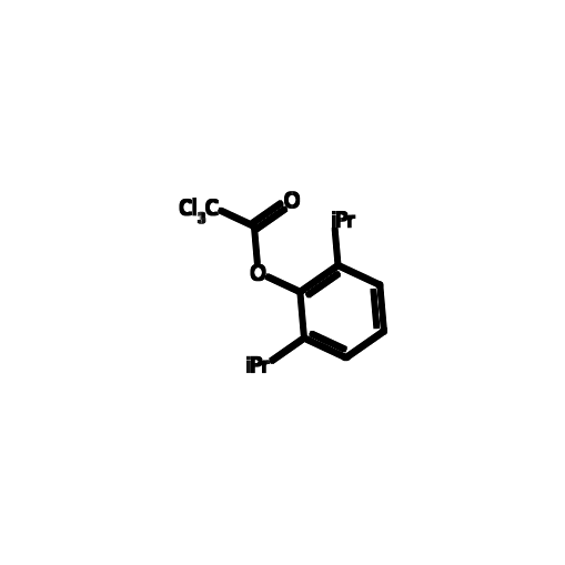 CC(C)c1cccc(C(C)C)c1OC(=O)C(Cl)(Cl)Cl